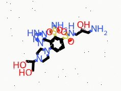 NC[C@@H](O)CNS(=O)(=O)c1ccc(N2CCN(C(CO)CO)CC2)c(-c2nn[nH]n2)c1S(N)(=O)=O